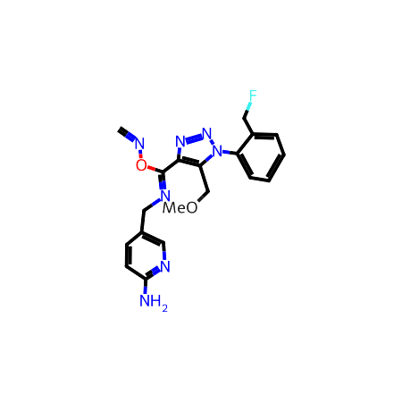 C=NO/C(=N\Cc1ccc(N)nc1)c1nnn(-c2ccccc2CF)c1COC